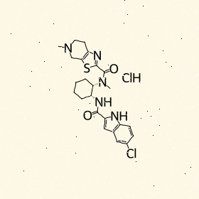 CN1CCc2nc(C(=O)N(C)[C@H]3CCCC[C@H]3NC(=O)c3cc4cc(Cl)ccc4[nH]3)sc2C1.Cl